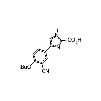 CC(C)COc1ccc(-c2cn(C)c(C(=O)O)n2)cc1C#N